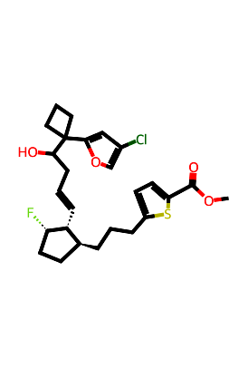 COC(=O)c1ccc(CCC[C@H]2CC[C@H](F)[C@@H]2/C=C/CC(O)C2(c3cc(Cl)co3)CCC2)s1